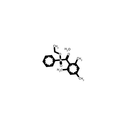 CCOP(=O)(C(=O)c1c(C)cc(C)cc1C)c1ccccc1.O